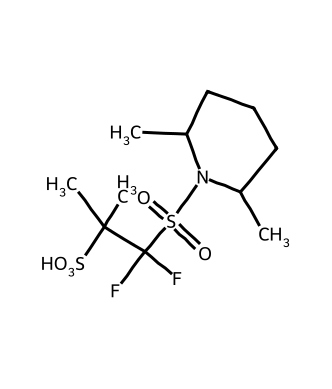 CC1CCCC(C)N1S(=O)(=O)C(F)(F)C(C)(C)S(=O)(=O)O